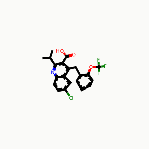 CC(C)c1nc2ccc(Cl)cc2c(Cc2ccccc2OC(F)(F)F)c1C(=O)O